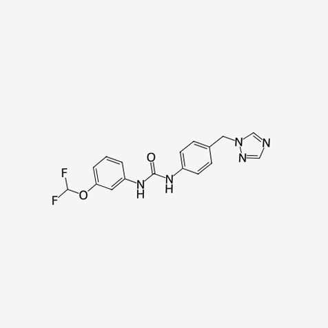 O=C(Nc1ccc(Cn2cncn2)cc1)Nc1cccc(OC(F)F)c1